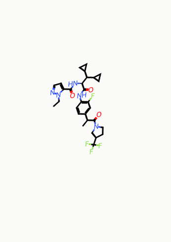 CCn1nccc1C(=O)N[C@H](C(=O)Nc1ccc(C(C)C(=O)N2CCC(C(F)(F)F)C2)cc1F)C(C1CC1)C1CC1